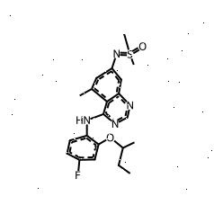 CCC(C)Oc1cc(F)ccc1Nc1ncnc2cc(N=S(C)(C)=O)cc(C)c12